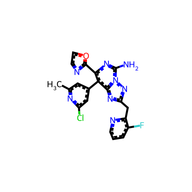 Cc1cc(-c2c(-c3ncco3)nc(N)n3nc(Cc4ncccc4F)nc23)cc(Cl)n1